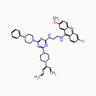 C=C/C=C(\C=C)N1CCN(c2nc(NCCNc3c4ccc(Cl)cc4nc4ccc(OC)cc34)nc(N3CCN(c4ccccc4)CC3)n2)CC1